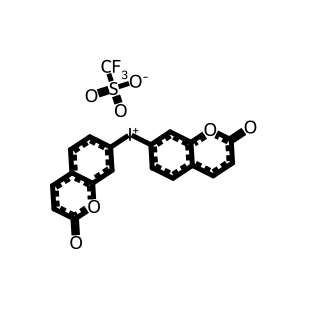 O=S(=O)([O-])C(F)(F)F.O=c1ccc2ccc([I+]c3ccc4ccc(=O)oc4c3)cc2o1